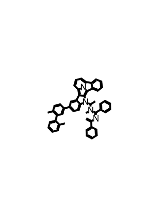 C=C(/N=C(/c1ccccc1)N(C)C(C)n1c2ccc(-c3ccc(C)c(-c4ccccc4C)c3)cc2c2c1c1c3ccccc3c3cccc2n31)c1ccccc1